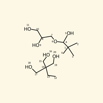 CC(C)(C)C(O)OCC(O)CO.CCC(CO)(CO)CO